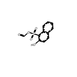 O=COS(=O)(=O)c1c(O)ccc2ccccc12